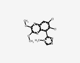 COc1nc2cc(Cl)c(Cl)c(-c3nncn3C)c2nc1OC